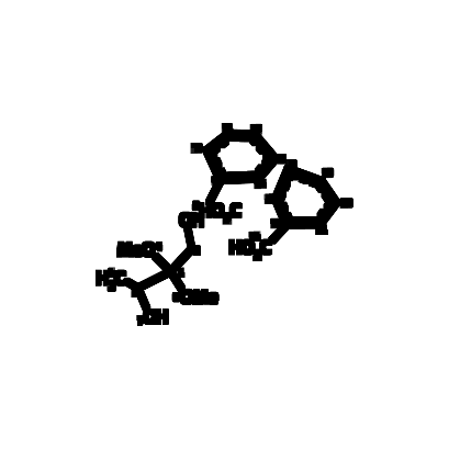 COC(CO)(OC)C(C)O.O=C(O)c1ccccc1.O=C(O)c1ccccc1